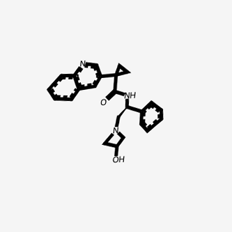 O=C(N[C@H](CN1CC(O)C1)c1ccccc1)C1(c2cnc3ccccc3c2)CC1